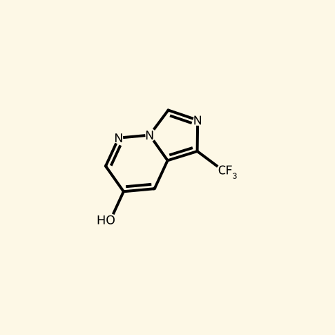 Oc1cnn2cnc(C(F)(F)F)c2c1